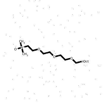 CCCCCCCCCOCCOCCOCC[N+](C)(C)[O-]